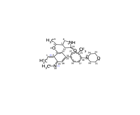 C/C=C1/C(OC(C)C2CNC(=O)C2)=CC(c2ccc(N3CCOCC3)c(C(F)(F)F)c2)=C/C1=N/C